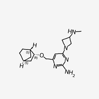 CNC1CN(c2cc(CO[C@@H]3C[C@H]4CC[C@H]3C4)nc(N)n2)C1